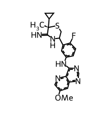 COc1cnc2c(Nc3ccc(F)c(C4CS[C@@](C)(C5CC5)C(=N)N4)c3)ncnc2c1